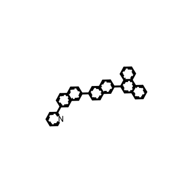 c1ccc(-c2ccc3ccc(-c4ccc5cc(-c6cc7ccccc7c7ccccc67)ccc5c4)cc3c2)nc1